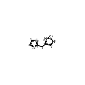 [c]1nsnc1Cc1nccs1